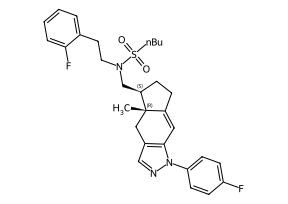 CCCCS(=O)(=O)N(CCc1ccccc1F)C[C@H]1CCC2=Cc3c(cnn3-c3ccc(F)cc3)C[C@@]21C